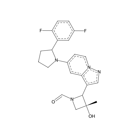 C[C@@]1(O)CN(C=O)C1c1cnn2ccc(N3CCCC3c3cc(F)ccc3F)cc12